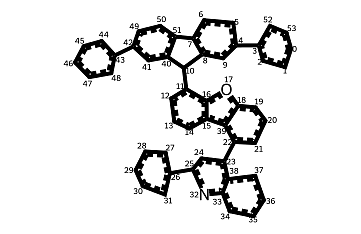 c1ccc(-c2ccc3c(c2)C(c2cccc4c2oc2cccc(-c5cc(-c6ccccc6)nc6ccccc56)c24)c2cc(-c4ccccc4)ccc2-3)cc1